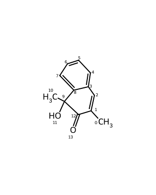 CC1=Cc2ccccc2C(C)(O)C1=O